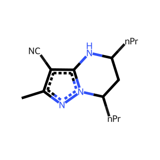 CCCC1CC(CCC)n2nc(C)c(C#N)c2N1